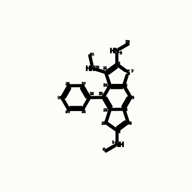 CNC1=[C]c2cc3sc(NC)c(NC)c3c(-c3ccccc3)c2C1